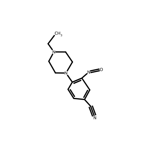 CCN1CCN(c2ccc(C#N)cc2N=O)CC1